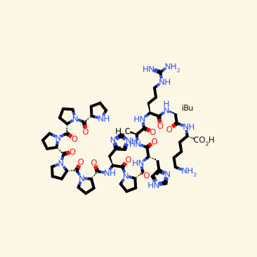 CC[C@H](C)[C@H](NC(=O)[C@H](CCCNC(=N)N)NC(=O)[C@H](C)NC(=O)[C@H](Cc1c[nH]cn1)NC(=O)[C@@H]1CCCN1C(=O)[C@H](Cc1c[nH]cn1)NC(=O)[C@@H]1CCCN1C(=O)[C@@H]1CCCN1C(=O)[C@@H]1CCCN1C(=O)[C@@H]1CCCN1C(=O)[C@@H]1CCCN1)C(=O)N[C@@H](CCCCN)C(=O)O